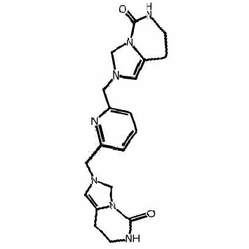 O=C1NCCC2=CN(Cc3cccc(CN4C=C5CCNC(=O)N5C4)n3)CN12